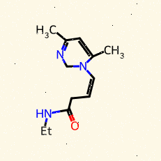 CCNC(=O)C/C=C\N1CN=C(C)C=C1C